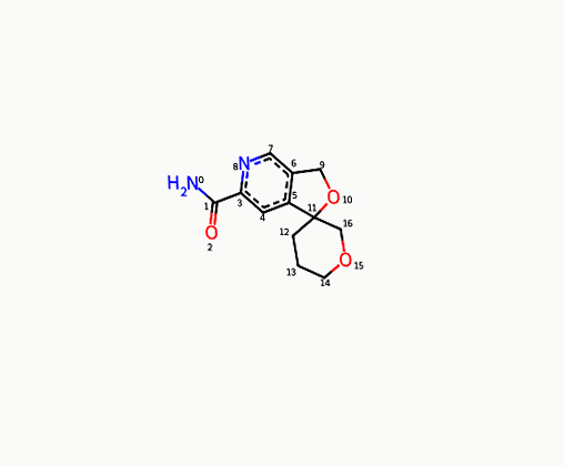 NC(=O)c1cc2c(cn1)COC21CCCOC1